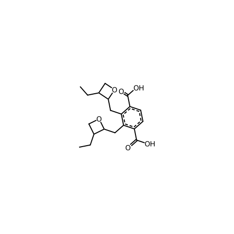 CCC1COC1Cc1c(C(=O)O)ccc(C(=O)O)c1CC1OCC1CC